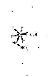 O=[N+]([O-])NS(F)(F)(F)(F)F.[CsH]